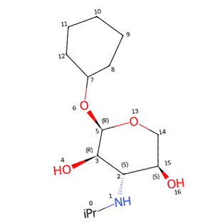 CC(C)N[C@@H]1[C@@H](O)[C@@H](OC2CCCCC2)OC[C@H]1O